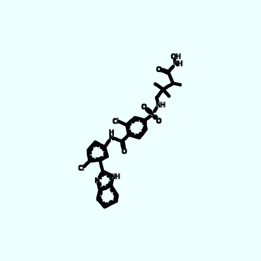 CC(C(=O)NO)C(C)(C)CNS(=O)(=O)c1ccc(C(=O)Nc2ccc(Cl)c(-c3nc4ccccc4[nH]3)c2)c(Cl)c1